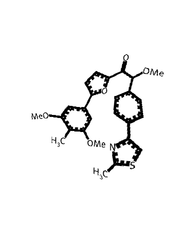 COc1cc(-c2ccc(C(=O)C(OC)c3ccc(-c4csc(C)n4)cc3)o2)cc(OC)c1C